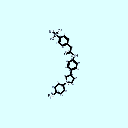 CCS(=O)(=O)c1ccc(CC(=O)Nc2ccc(C3CCN(C4CCC(C(F)(F)F)CC4)C3)cc2)cc1